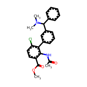 COC(=O)c1ccc(Cl)c(-c2cccc(C(c3ccccc3)N(C)C)c2)c1NC(C)=O